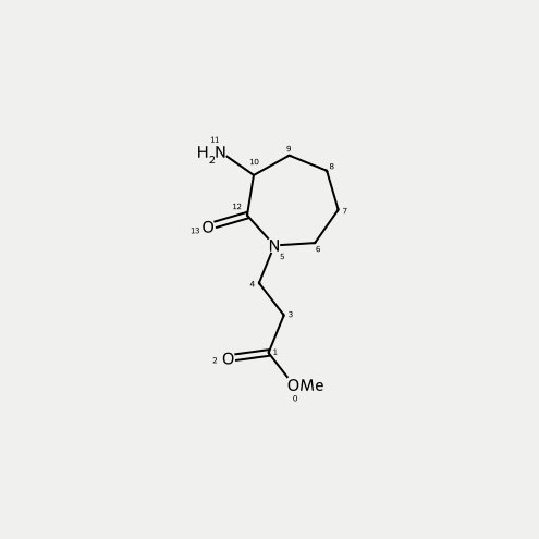 COC(=O)CCN1CCCCC(N)C1=O